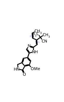 C/C=C\C(=C/c1ncc(-c2cc3c(c(OC)c2)C(=O)NC3)[nH]1)C(C)(C)C#N